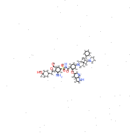 CC(C)c1ccccc1[C@@H]1CCCN1C1CC2(CCN(c3ccc(C(=O)NS(=O)(=O)c4cc(N)c5c(c4)C(=O)OC5CC4CCC(C)(O)CC4)c(Oc4cnc5[nH]ccc5c4)c3)CC2)C1